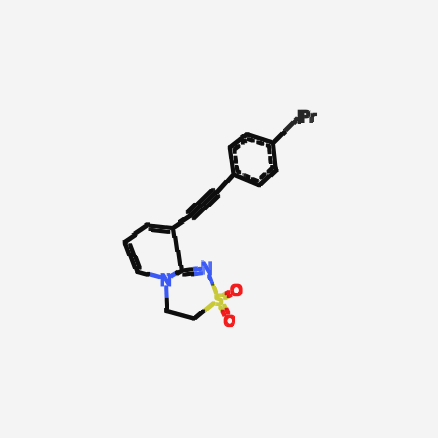 CC(C)c1ccc(C#CC2=CC=CN3CCS(=O)(=O)N=C23)cc1